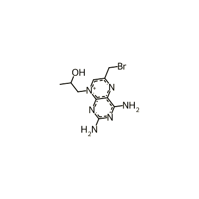 CC(O)C[n+]1cc(CBr)nc2c(N)nc(N)nc21